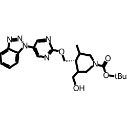 CC1CN(C(=O)OC(C)(C)C)CC(CO)[C@@H]1COc1ncc(-n2nnc3ccccc32)cn1